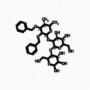 CC1O[C@@H](OC2[C@H](O[C@@H]3C(CO)OC(O)C(O)[C@H]3O)OC(CO)[C@H](O)[C@@H]2O)C(OCc2ccccc2)[C@@H](OCc2ccccc2)[C@@H]1C